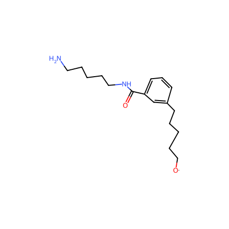 NCCCCCNC(=O)c1cccc(CCCCC[O])c1